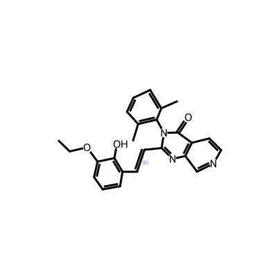 CCOc1cccc(/C=C/c2nc3cnccc3c(=O)n2-c2c(C)cccc2C)c1O